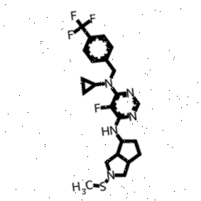 CSN1CC2CCC(Nc3ncnc(N(Cc4ccc(C(F)(F)F)cc4)C4CC4)c3F)C2C1